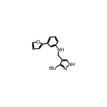 CC(C)(C)c1n[nH]cc1CNc1cccc(-c2ccco2)c1